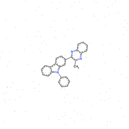 Cc1nc2ccccc2nc1-c1ccc2c3ccccc3n(-c3ccccc3)c2c1